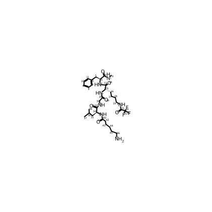 CNC(=O)[C@H](Cc1ccccc1)NC(=O)[C@H](CCCCNC(=O)C(F)(F)F)NC(=O)CNC(=O)[C@H](CC(C)C)NC(=O)CCCCCN